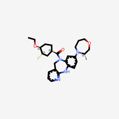 CCO[C@H]1CC[C@@H](C(=O)N2Cc3cccnc3Nc3ccc(N4CCCOC[C@@H]4C)cc32)C[C@@H]1F